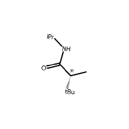 CC(C)NC(=O)[C@H](C)C(C)(C)C